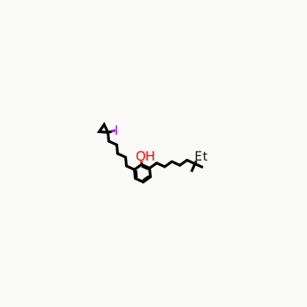 CCC(C)(C)CCCCCc1cccc(CCCCCC2(I)CC2)c1O